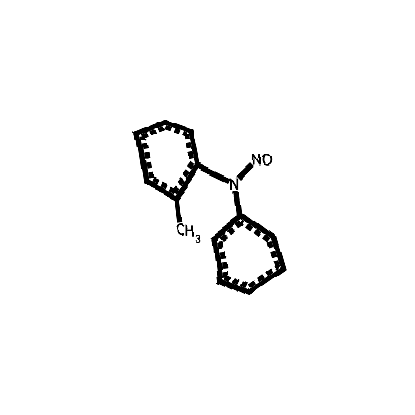 Cc1ccccc1N(N=O)c1ccccc1